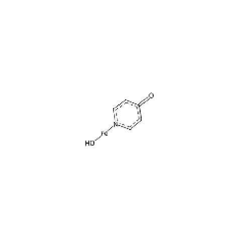 O=c1cc[n]([Fe][OH])cc1